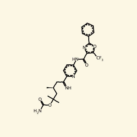 C[C@@H](CC(=N)c1ccc(NC(=O)c2nc(-c3ccccc3)oc2C(F)(F)F)cn1)CC(C)(C)OC(N)=O